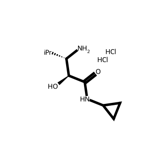 CC(C)[C@H](N)[C@H](O)C(=O)NC1CC1.Cl.Cl